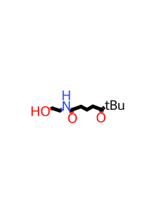 CC(C)(C)C(=O)CCCC(=O)NCCO